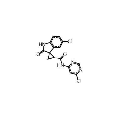 O=C(Nc1cc(Cl)ncn1)[C@@H]1C[C@]12C(=O)Nc1ccc(Cl)cc12